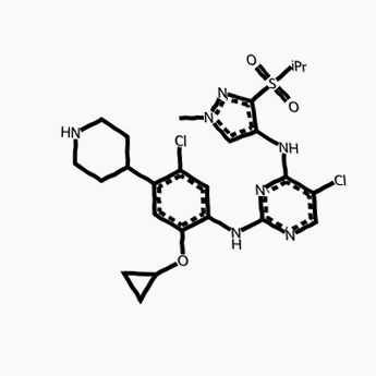 CC(C)S(=O)(=O)c1nn(C)cc1Nc1nc(Nc2cc(Cl)c(C3CCNCC3)cc2OC2CC2)ncc1Cl